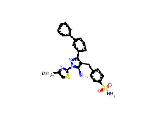 CCOC(=O)c1csc(-n2nc(-c3cccc(-c4ccccc4)c3)c(Cc3ccc(S(N)(=O)=O)cc3)c2N)n1